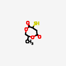 CC1COC(=O)C(S)CC(=O)O1